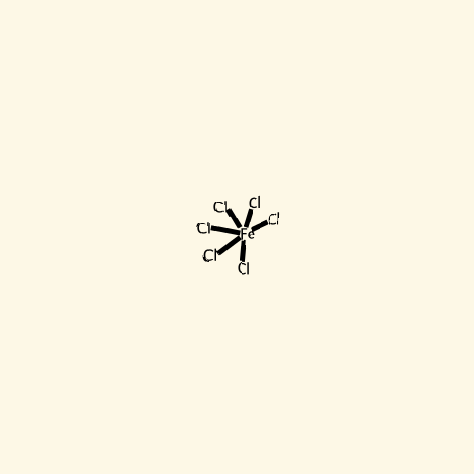 [Cl][Fe]([Cl])([Cl])([Cl])([Cl])[Cl]